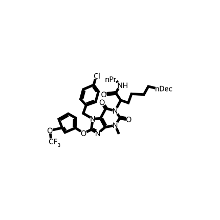 CCCCCCCCCCCCCCC(C(=O)NCCC)n1c(=O)c2c(nc(Oc3cccc(OC(F)(F)F)c3)n2Cc2ccc(Cl)cc2)n(C)c1=O